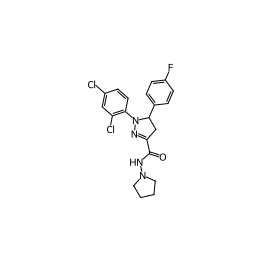 O=C(NN1CCCC1)C1=NN(c2ccc(Cl)cc2Cl)C(c2ccc(F)cc2)C1